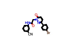 N#Cc1cccc(NC(=O)Cn2nc(-c3ccc(Br)cc3)ccc2=O)c1